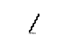 C=CCCCCCC=CCCCCCCCC